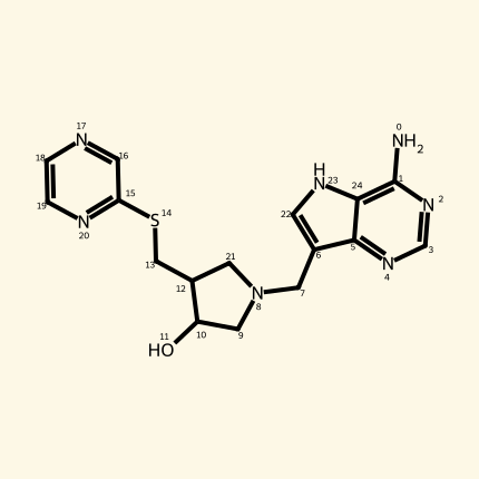 Nc1ncnc2c(CN3CC(O)C(CSc4cnccn4)C3)c[nH]c12